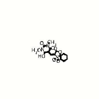 Cn1c(O)c(/C=C2\C(=O)OC3(CCCCC3)S2(=O)=O)c(=O)n(C)c1=O